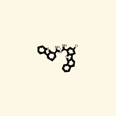 N=C(/N=C(\N)c1cccc2c1sc1ccccc12)c1cc(Cl)cc2c1sc1c3ccccc3ccc21